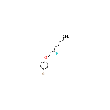 CCCCCC(F)CCOc1ccc(Br)cc1